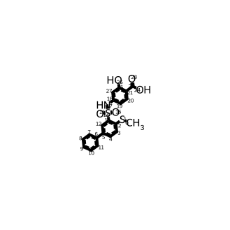 CSc1ccc(-c2ccccc2)cc1S(=O)(=O)Nc1ccc(C(=O)O)c(O)c1